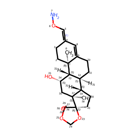 C[C@]12CC/C(=C\ON)C=C1CC[C@@H]1[C@@H]2[C@@H](O)C[C@@]2(C)[C@H]1CC[C@@]21OCOC12COCO2